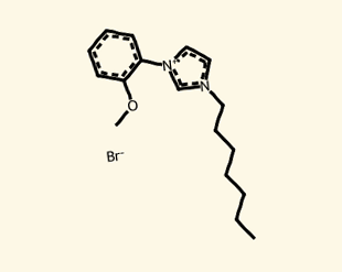 CCCCCCCn1cc[n+](-c2ccccc2OC)c1.[Br-]